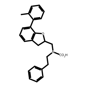 Cc1ccccc1-c1cccc2c1OC(CN(CCc1ccccc1)C(=O)O)C2